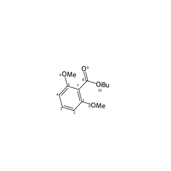 COc1cccc(OC)c1C(=O)OCC(C)C